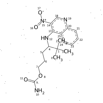 CC(C)(C)C(CCCOC(N)=O)Nc1c([N+](=O)[O-])cnc2ccccc12